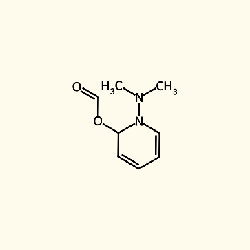 CN(C)N1C=CC=CC1OC=O